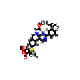 COCCN(Cc1ccc(SC(C)(C)C(=O)O)cc1)c1ccnc(-c2cccc(C)c2)n1